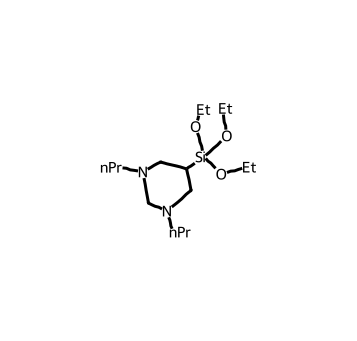 CCCN1CC([Si](OCC)(OCC)OCC)CN(CCC)C1